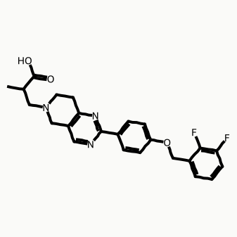 CC(CN1CCc2nc(-c3ccc(OCc4cccc(F)c4F)cc3)ncc2C1)C(=O)O